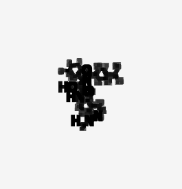 Cc1cccc(C(NC(=O)c2ccc(C(C)C)cc2)C(O)C(=O)Nc2ccc3c(N)nccc3c2)c1